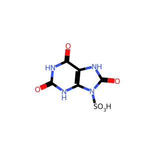 O=c1[nH]c(=O)c2[nH]c(=O)n(S(=O)(=O)O)c2[nH]1